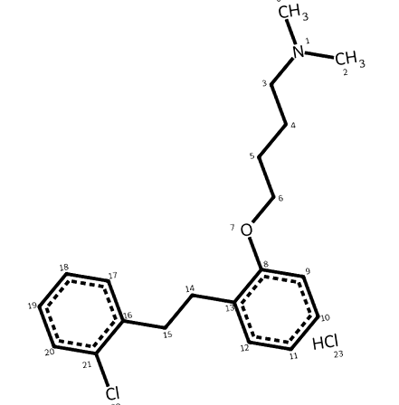 CN(C)CCCCOc1ccccc1CCc1ccccc1Cl.Cl